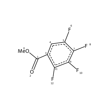 COC(=O)c1cc(F)c(F)c(F)c1F